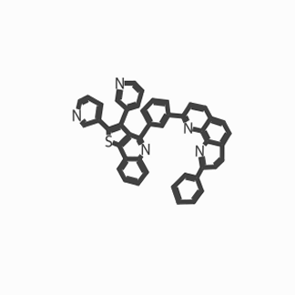 c1ccc(-c2ccc3ccc4ccc(-c5cccc(-c6nc7ccccc7c7sc(-c8cccnc8)c(-c8cccnc8)c67)c5)nc4c3n2)cc1